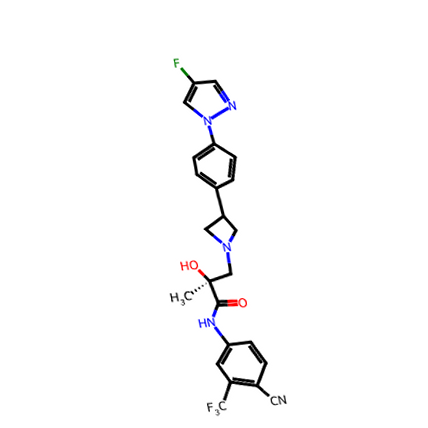 C[C@](O)(CN1CC(c2ccc(-n3cc(F)cn3)cc2)C1)C(=O)Nc1ccc(C#N)c(C(F)(F)F)c1